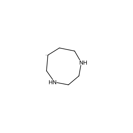 [CH]1CCNCCNC1